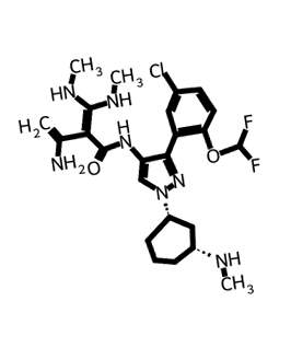 C=C(N)C(C(=O)Nc1cn([C@H]2CCC[C@@H](NC)C2)nc1-c1cc(Cl)ccc1OC(F)F)=C(NC)NC